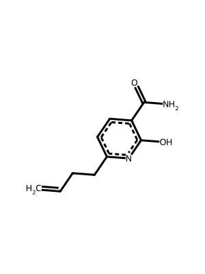 C=CCCc1ccc(C(N)=O)c(O)n1